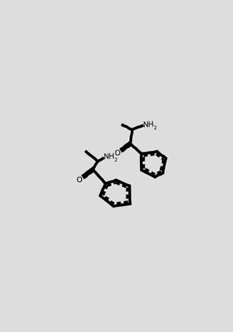 CC(N)C(=O)c1ccccc1.CC(N)C(=O)c1ccccc1